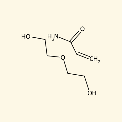 C=CC(N)=O.OCCOCCO